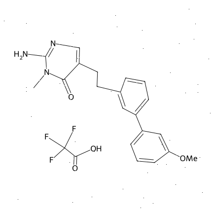 COc1cccc(-c2cccc(CCc3cnc(N)n(C)c3=O)c2)c1.O=C(O)C(F)(F)F